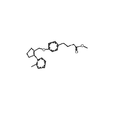 COC(=O)CCCc1ccc(OCC2=C(c3ccccc3C)CCC2)cc1